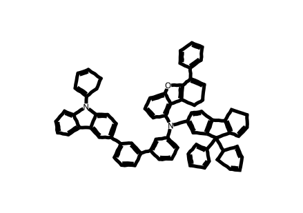 C1=CCCC(n2c3ccccc3c3cc(-c4cccc(-c5cccc(N(c6ccc7c(c6)C(c6ccccc6)(C6C=CC=CC6)C6=C7CCC=C6)c6cccc7oc8c(c67)CCC=C8c6ccccc6)c5)c4)ccc32)=C1